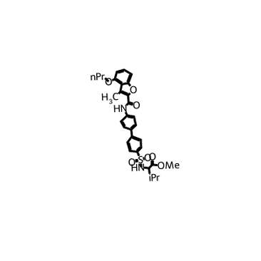 CCCOc1cccc2oc(C(=O)Nc3ccc(-c4ccc(S(=O)(=O)NC(C(=O)OC)C(C)C)cc4)cc3)c(C)c12